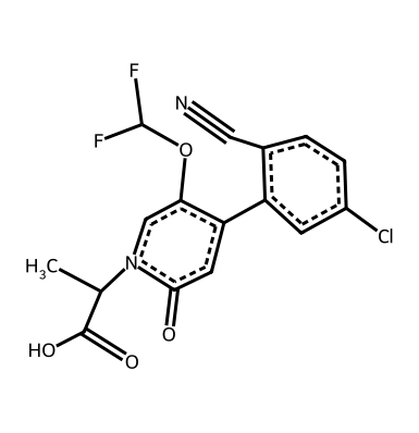 CC(C(=O)O)n1cc(OC(F)F)c(-c2cc(Cl)ccc2C#N)cc1=O